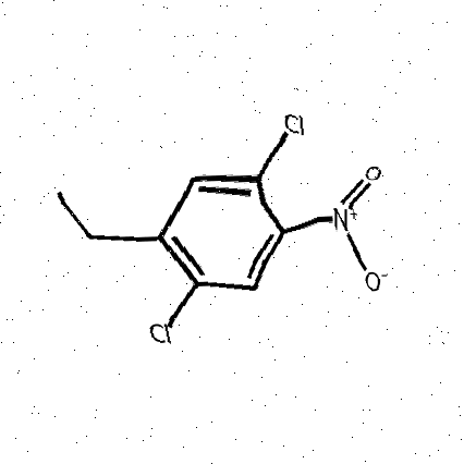 CCc1cc(Cl)c([N+](=O)[O-])cc1Cl